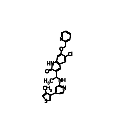 Cc1cscc1-c1ccnc(N[C@@H](C)c2cc3cc(Cl)c(OCc4ccccn4)cc3[nH]c2=O)c1